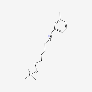 Cc1cccc(/C=N/CCCCCS[Si](C)(C)C)c1